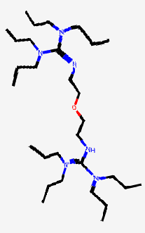 CCCN(CCC)C(=NCCOCCNC(N(CCC)CCC)=[N+](CCC)CCC)N(CCC)CCC